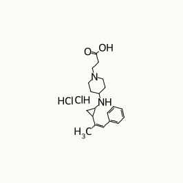 CC(=Cc1ccccc1)C1CC1NC1CCN(CCC(=O)O)CC1.Cl.Cl